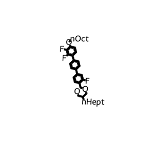 CCCCCCCCOc1ccc(-c2ccc(-c3ccc(C4OCC(CCCCCCC)CO4)c(F)c3)cc2)c(F)c1F